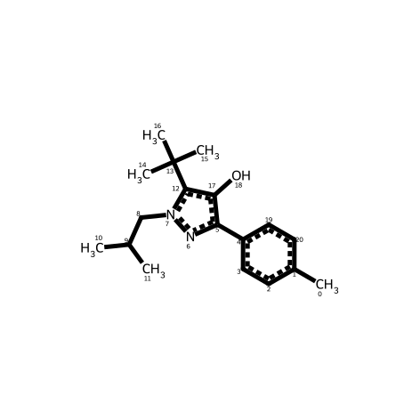 Cc1ccc(-c2nn(CC(C)C)c(C(C)(C)C)c2O)cc1